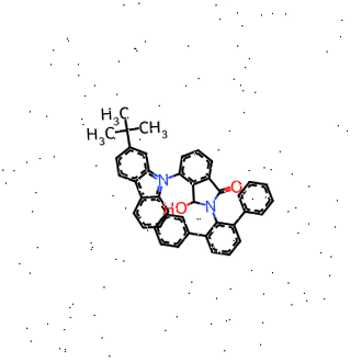 CC(C)(C)c1ccc2c3ccccc3n(-c3cccc4c3C(O)N(c3c(-c5ccccc5)cccc3-c3ccccc3)C4=O)c2c1